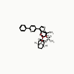 CS(=O)(=O)c1c([C@@H]2C[C@H]3CC[C@@H](C2)N3S(=O)(=O)c2nnc[nH]2)nc2c(-c3ccc(-c4ccccc4)nc3)cnn2c1N